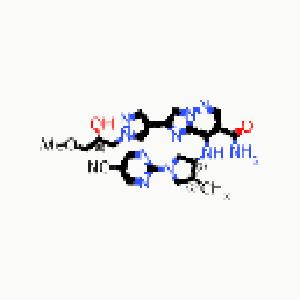 COC[C@H](O)Cn1cc(-c2cn3ncc(C(N)=O)c(N[C@@H]4CN(c5ncc(C#N)cn5)C[C@@H]4C)c3n2)cn1